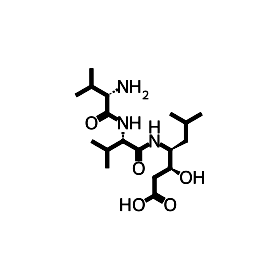 CC(C)C[C@H](NC(=O)[C@@H](NC(=O)[C@@H](N)C(C)C)C(C)C)[C@@H](O)CC(=O)O